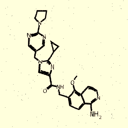 COc1c(CNC(=O)c2cn(Cc3cnc(N4CCCC4)nc3)c(C3CC3)n2)ccc2c(N)nccc12